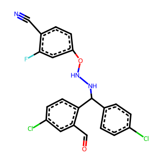 N#Cc1ccc(ONNC(c2ccc(Cl)cc2)c2ccc(Cl)cc2C=O)cc1F